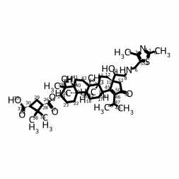 Cc1nc(C)c(CNC[C@H](O)[C@@]23CC[C@]4(C)[C@H](CC[C@@H]5[C@@]6(C)CC[C@H](OC(=O)[C@H]7C[C@@H](C(=O)O)C7(C)C)C(C)(C)[C@@H]6CC[C@]54C)C2=C(C(C)C)C(=O)C3)s1